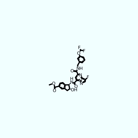 COC(=O)c1ccc2c(c1)C[C@@H](O)[C@@H]2NC(=O)c1cc(C(=O)NCc2cccc(OC(F)F)c2)nc2c(F)cnn12